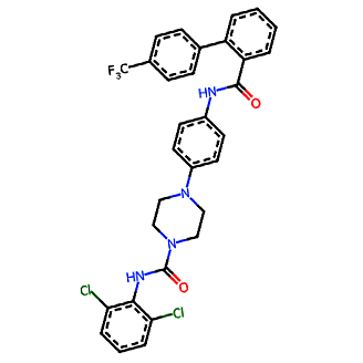 O=C(Nc1ccc(N2CCN(C(=O)Nc3c(Cl)cccc3Cl)CC2)cc1)c1ccccc1-c1ccc(C(F)(F)F)cc1